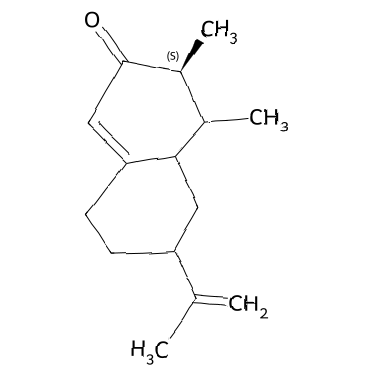 C=C(C)C1CCC2=CC(=O)[C@@H](C)C(C)C2C1